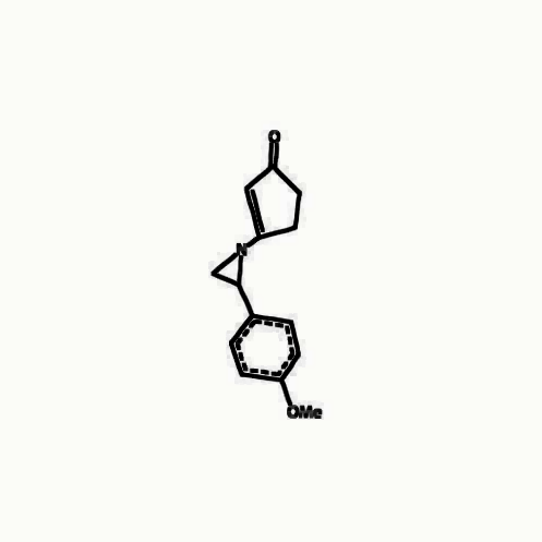 COc1ccc(C2CN2C2=CC(=O)CC2)cc1